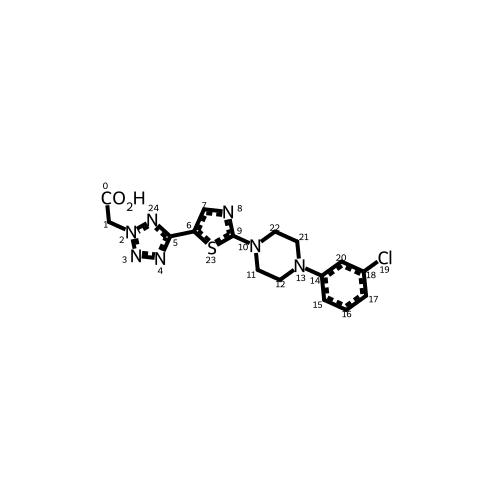 O=C(O)Cn1nnc(-c2cnc(N3CCN(c4cccc(Cl)c4)CC3)s2)n1